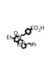 CCc1cc(CC)c(=O)n(CCc2ccc(C(=O)O)cc2)c1CN1CCC[C@@H]1CC(C)C